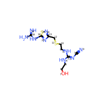 N#C/N=C(/NCCO)NCCSCc1nsc(NC(=N)N)n1